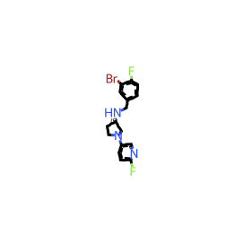 Fc1ccc(N2CC[C@H](NCc3ccc(F)c(Br)c3)C2)cn1